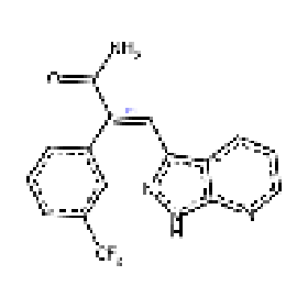 NC(=O)/C(=C/c1n[nH]c2ncccc12)c1cccc(C(F)(F)F)c1